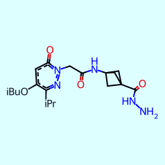 CC(C)COc1cc(=O)n(CC(=O)NC23CC(C(=O)NN)(C2)C3)nc1C(C)C